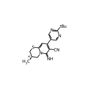 C[C@H]1CSc2cc(-c3cnc(C(C)(C)C)nc3)c(C#N)c(=N)n2C1